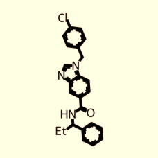 CCC(NC(=O)c1ccc2c(c1)ncn2Cc1ccc(Cl)cc1)c1ccccc1